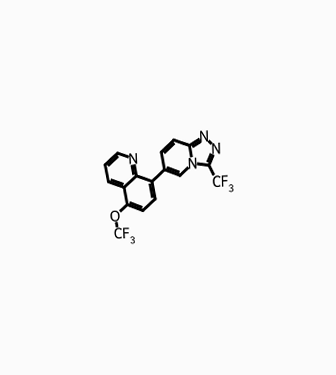 FC(F)(F)Oc1ccc(-c2ccc3nnc(C(F)(F)F)n3c2)c2ncccc12